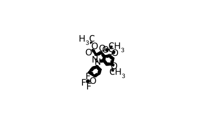 CCOC(=O)c1nn(-c2ccc(OC(F)(F)F)cc2)c2cc(OC)cc(S(C)(=O)=O)c2c1=O